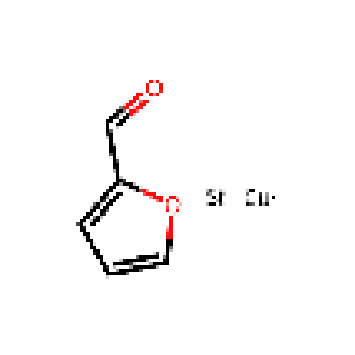 O=Cc1ccco1.[Cu].[Si]